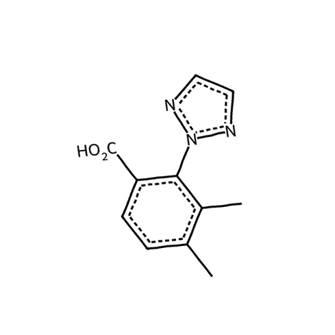 Cc1ccc(C(=O)O)c(-n2nccn2)c1C